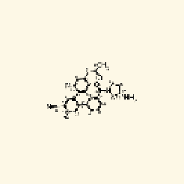 CC(=O)Cc1ccc(-c2cc(C#N)c(F)cc2-c2cccc(C(=O)N3CC[C@H](N)C3)c2)c(F)c1